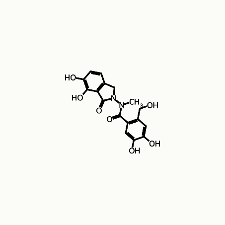 CN(C(=O)c1cc(O)c(O)cc1CO)N1Cc2ccc(O)c(O)c2C1=O